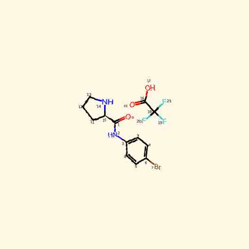 O=C(Nc1ccc(Br)cc1)[C@H]1CCCN1.O=C(O)C(F)(F)F